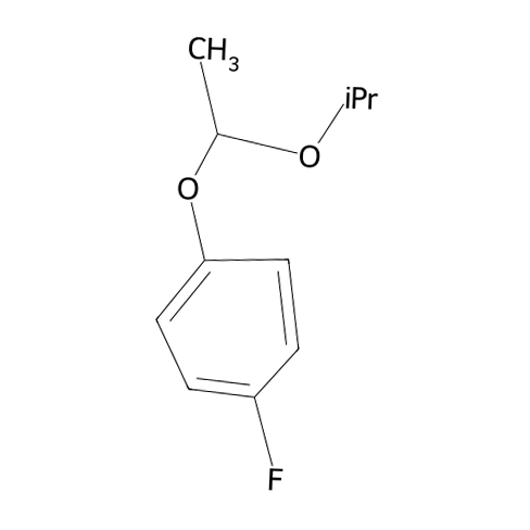 CC(C)OC(C)Oc1ccc(F)cc1